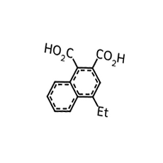 CCc1cc(C(=O)O)c(C(=O)O)c2ccccc12